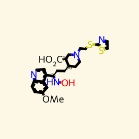 COc1ccc2nccc([C@@H](CC[C@@H]3CCN(CCSc4nccs4)C[C@@H]3C(=O)O)NO)c2c1